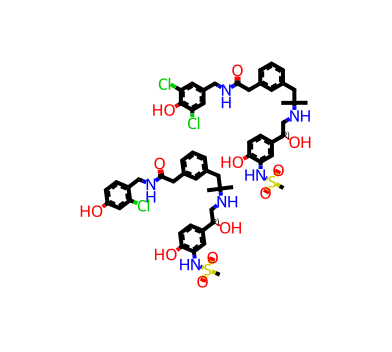 CC(C)(Cc1cccc(CC(=O)NCc2cc(Cl)c(O)c(Cl)c2)c1)NC[C@H](O)c1ccc(O)c(NS(C)(=O)=O)c1.CC(C)(Cc1cccc(CC(=O)NCc2ccc(O)cc2Cl)c1)NC[C@H](O)c1ccc(O)c(NS(C)(=O)=O)c1